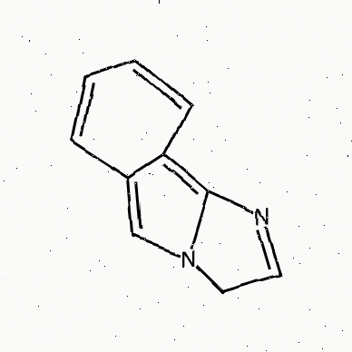 C1=Nc2c3ccccc3cn2C1